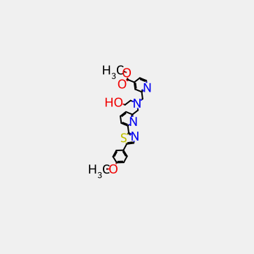 COC(=O)c1ccnc(CN(CCO)Cc2cccc(-c3ncc(-c4ccc(OC)cc4)s3)n2)c1